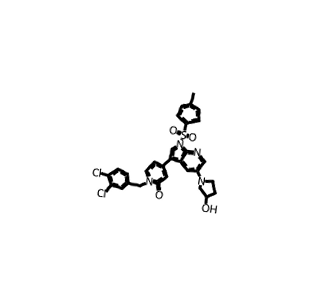 Cc1ccc(S(=O)(=O)n2cc(-c3ccn(Cc4ccc(Cl)c(Cl)c4)c(=O)c3)c3cc(N4CCC(O)C4)cnc32)cc1